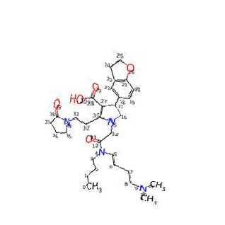 CCCCN(CCCCN(C)C)C(=O)CN1CC(c2ccc3c(c2)CCO3)C(C(=O)O)C1CCN1CCCC1=O